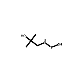 CC(C)(O)CNSS